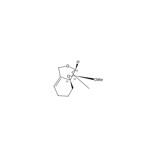 CO[C@]1(C)C[C@@H]2OCC3=CCCC[C@]32O1